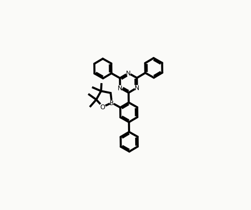 CC1(C)CB(c2cc(-c3ccccc3)ccc2-c2nc(C3=CCCC=C3)nc(-c3ccccc3)n2)OC1(C)C